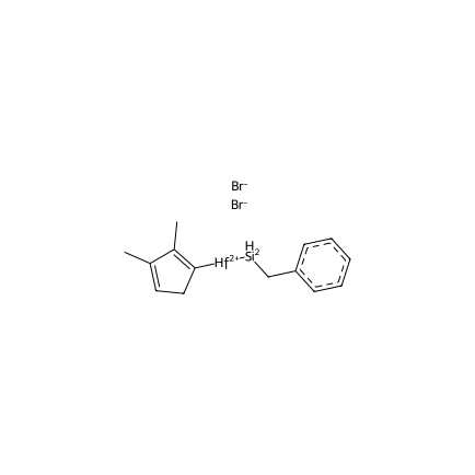 CC1=CC[C]([Hf+2][SiH2]Cc2ccccc2)=C1C.[Br-].[Br-]